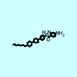 CCCCCCCC1CCC(C2CCC(c3ccc(OC(=O)c4ccc(N)cc4N)cc3)CC2)CC1